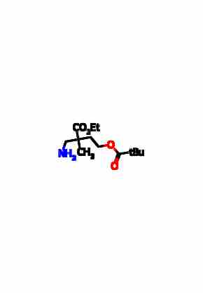 CCOC(=O)C(C)(CN)CCOC(=O)C(C)(C)C